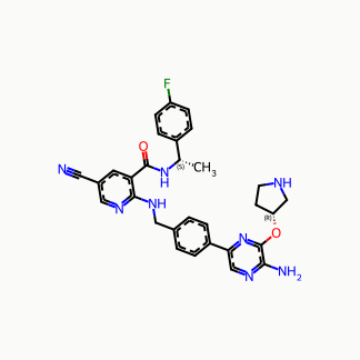 C[C@H](NC(=O)c1cc(C#N)cnc1NCc1ccc(-c2cnc(N)c(O[C@@H]3CCNC3)n2)cc1)c1ccc(F)cc1